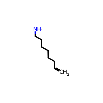 C=CCCCCCC[NH]